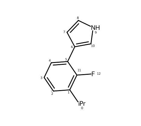 CC(C)c1[c]ccc(-c2cc[nH]c2)c1F